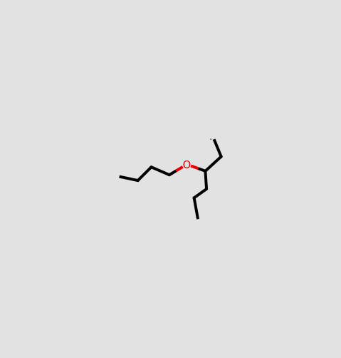 [CH2]CC(CCC)OCCCC